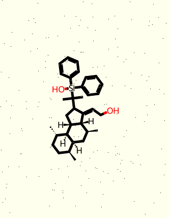 C[C@H]1CC[C@H](C)[C@H]2[C@@H]3CC(C(C)(C)[Si](O)(c4ccccc4)c4ccccc4)/C(=C/CO)[C@@H]3[C@@H](C)C[C@H]21